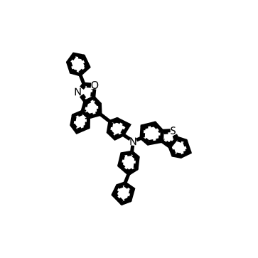 c1ccc(-c2ccc(N(c3ccc(-c4cc5oc(-c6ccccc6)nc5c5ccccc45)cc3)c3ccc4sc5ccccc5c4c3)cc2)cc1